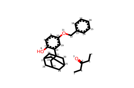 CCC(=O)CC.Oc1ccc(OCc2ccccc2)cc1C12CC3CC(CC(C3)C1)C2